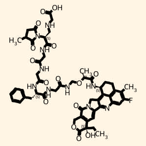 CC[C@@]1(O)C(=O)OCc2c1cc1n(c2=O)Cc2c-1nc1cc(F)c(C)c3c1c2[C@@H](NC(=O)[C@@H](C)OCNC(=O)CNC(=O)[C@H](Cc1ccccc1)NC(=O)CNC(=O)CNC(=O)[C@H](CNCC(=O)O)N1C(=O)CC(C)C1=O)CC3